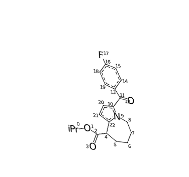 CC(C)OC(=O)C1CCCCn2c(C(=O)c3ccc(F)cc3)ccc21